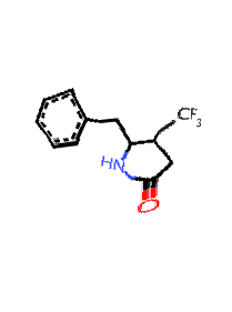 O=C1CC(C(F)(F)F)C(Cc2ccccc2)N1